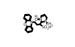 CN1C=CCN(C)C1C(CCN1c2ccccc2Oc2ccccc21)S(=O)(=O)O